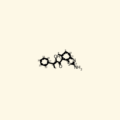 C/C(=C(/O)C(=O)c1c(C)ccc2nc(N)sc12)c1ccccc1